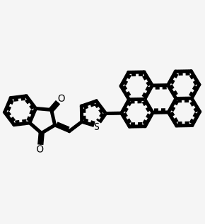 O=C1C(=Cc2ccc(-c3ccc4c5cccc6cccc(c7cccc3c74)c65)s2)C(=O)c2ccccc21